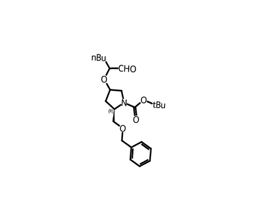 CCCCC(C=O)OC1C[C@H](COCc2ccccc2)N(C(=O)OC(C)(C)C)C1